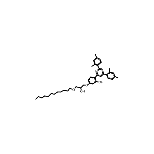 CCCCCCCCCCCCOCC(O)COc1ccc(-c2cc(-c3ccc(C)cc3C)nc(-c3ccc(C)cc3C)n2)c(O)c1